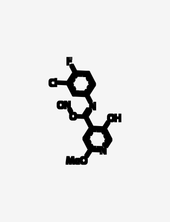 COc1cc(C(=Nc2ccc(F)c(Cl)c2)ON=O)c(O)cn1